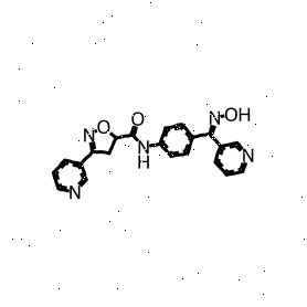 O=C(Nc1ccc(/C(=N/O)c2cccnc2)cc1)C1CC(c2cccnc2)=NO1